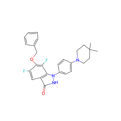 CC1(C)CCN(c2ccc(-n3[nH]c(=O)c4cc(F)c(OCc5ccccc5)c(F)c43)cc2)CC1